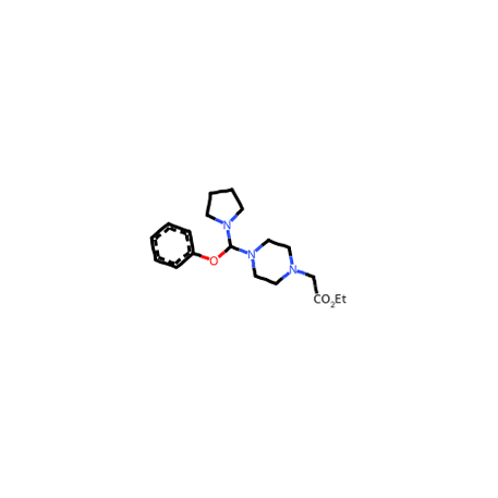 CCOC(=O)CN1CCN(C(Oc2ccccc2)N2CCCC2)CC1